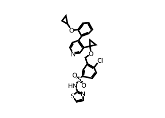 O=S(=O)(Nc1nccs1)c1ccc(Cl)c(COC2(c3cnccc3-c3ccccc3OC3CC3)CC2)c1